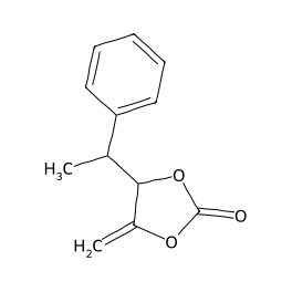 C=C1OC(=O)OC1C(C)c1ccccc1